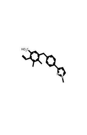 C=Cc1c(C(=O)O)cc(Cc2ccc(-c3ccn(C)n3)cc2)c(C)c1C